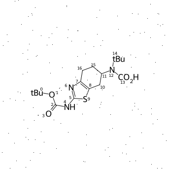 CC(C)(C)OC(=O)Nc1nc2c(s1)CC(N(C(=O)O)C(C)(C)C)CC2